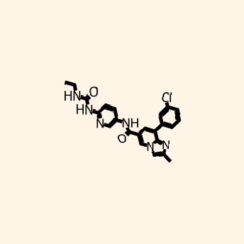 CCNC(=O)Nc1ccc(NC(=O)c2cc(-c3cccc(Cl)c3)c3nc(C)cn3c2)cn1